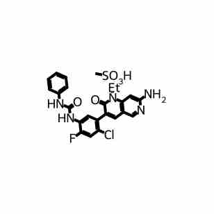 CCn1c(=O)c(-c2cc(NC(=O)Nc3ccccc3)c(F)cc2Cl)cc2cnc(N)cc21.CS(=O)(=O)O